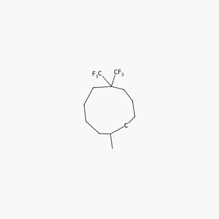 CC1CCCCC(C(F)(F)F)(C(F)(F)F)CCCC1